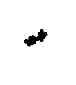 Cc1ccc(Cc2ccc3cc4c(cc3c2)-c2c(cc(N(c3ccccc3)c3cc(C)c(C)c(C)c3)c3ccccc23)C42c3ccccc3-c3ccccc32)c(N(c2ccccc2)c2cc3c(c4ccccc24)-c2cc4ccccc4cc2C32c3ccccc3-c3ccccc32)c1